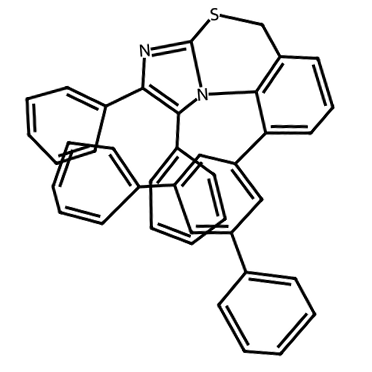 c1ccc(-c2cc(-c3ccccc3)cc(-c3cccc4c3-n3c(nc(-c5ccccc5)c3-c3ccccc3)SC4)c2)cc1